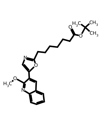 COc1nc2ccccc2cc1-c1cnc(CCCCCCC(=O)OC(C)(C)C)o1